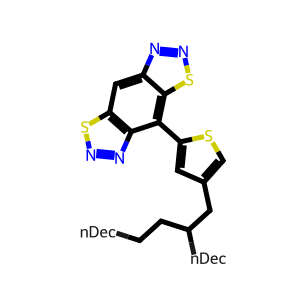 CCCCCCCCCCCCC(CCCCCCCCCC)Cc1csc(-c2c3nnsc3cc3nnsc23)c1